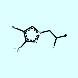 Cc1nn(CC(F)F)cc1C(C)C